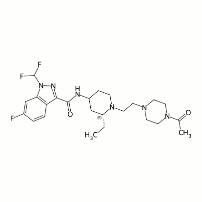 CC[C@@H]1CC(NC(=O)c2nn(C(F)F)c3cc(F)ccc23)CCN1CCN1CCN(C(C)=O)CC1